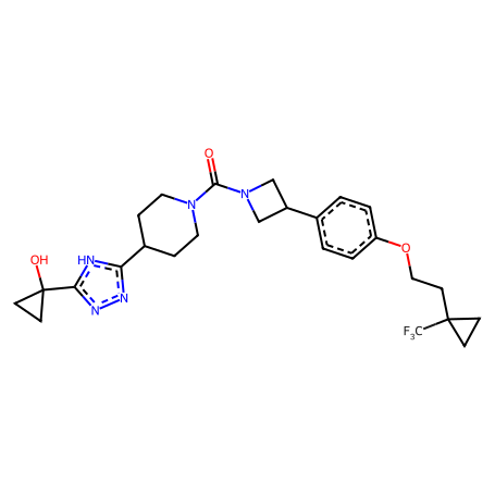 O=C(N1CCC(c2nnc(C3(O)CC3)[nH]2)CC1)N1CC(c2ccc(OCCC3(C(F)(F)F)CC3)cc2)C1